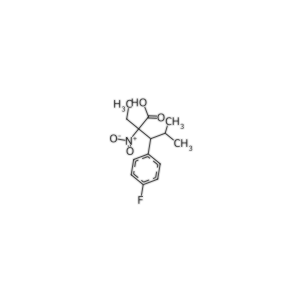 CCC(C(=O)O)(C(c1ccc(F)cc1)C(C)C)[N+](=O)[O-]